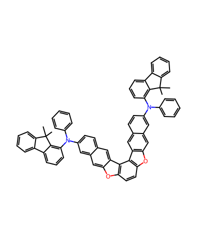 CC1(C)c2ccccc2-c2cccc(N(c3ccccc3)c3ccc4cc5c(cc4c3)oc3ccc4oc6cc7cc(N(c8ccccc8)c8cccc9c8C(C)(C)c8ccccc8-9)ccc7cc6c4c35)c21